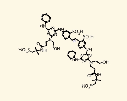 CC(C)(CS(=O)(=O)O)NC(=O)CCN(CCO)c1nc(Nc2ccccc2)nc(Nc2ccc(/C=C/c3ccc(Nc4nc(Nc5ccccc5)nc(N(CCO)CCC(=O)NC(C)(C)CS(=O)(=O)O)n4)cc3S(=O)(=O)O)c(S(=O)(=O)O)c2)n1